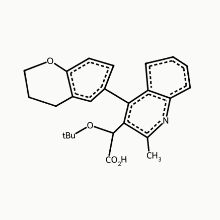 Cc1nc2ccccc2c(-c2ccc3c(c2)CCCO3)c1C(OC(C)(C)C)C(=O)O